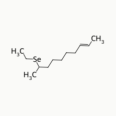 CC=CCCCCCC(C)[Se]CC